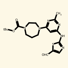 Cc1nc(Nc2ncc(C=O)s2)cc(N2CCCN(C(=O)OC(C)(C)C)CC2)n1